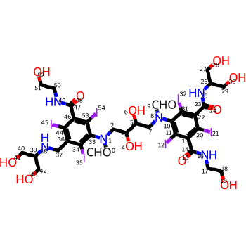 O=CN(CC(O)C(O)CN(C=O)c1c(I)c(C(=O)NCCO)c(I)c(C(=O)NC(CO)CO)c1I)c1c(I)c(CNC(CO)CO)c(I)c(C(=O)NCCO)c1I